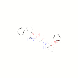 O=C(CC(=O)N[C@H](Cc1ccccc1)C1(O)CCCC1)N[C@H](Cc1ccccc1)C1(O)CCCC1